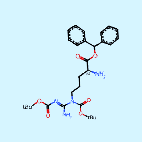 CC(C)(C)OC(=O)N=C(N)N(CCC[C@H](N)C(=O)OC(c1ccccc1)c1ccccc1)C(=O)OC(C)(C)C